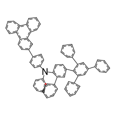 c1ccc(-c2cc(-c3ccccc3)c(-c3ccc(N(c4ccccc4)c4ccc(-c5ccc6c7ccccc7c7ccccc7c6c5)cc4)c(-c4ccccc4)c3)c(-c3ccccc3)c2)cc1